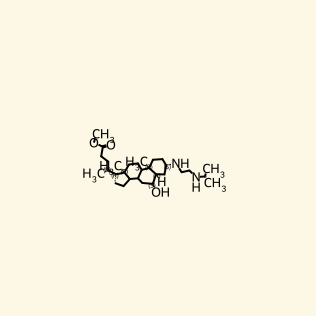 COC(=O)CC[C@@H](C)[C@H]1CCC2C3C[C@H](O)[C@@H]4C[C@@H](NCCNC(C)C)CC[C@]4(C)C3CC[C@@]21C